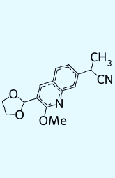 COc1nc2cc(C(C)C#N)ccc2cc1C1OCCO1